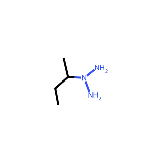 CCC(C)N(N)N